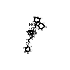 OC(CO[C@H]1C2CC[N+](CCCOc3ccccc3)(CC2)[C@@H]1Br)(c1ccccc1)C1CCCCC1